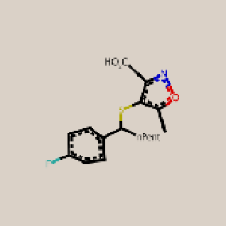 CCCCCC(Sc1c(C(=O)O)noc1C)c1ccc(F)cc1